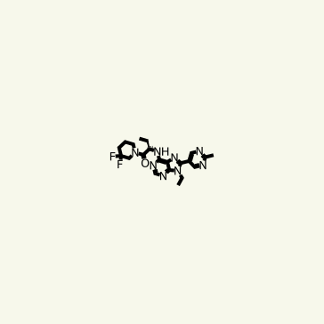 CC[C@@H](Nc1ncnc2c1nc(-c1cnc(C)nc1)n2CC)C(=O)N1CCCC(F)(F)C1